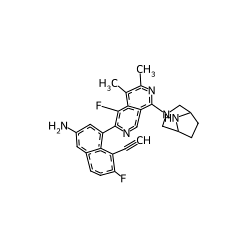 C#Cc1c(F)ccc2cc(N)cc(-c3ncc4c(N5CC6CCC(C5)N6)nc(C)c(C)c4c3F)c12